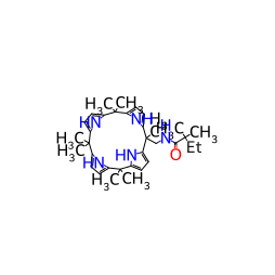 CCC(C)(C)C(=O)NCC1(C)c2ccc([nH]2)C(C)(C)c2ccc([nH]2)C(C)(C)c2ccc([nH]2)C(C)(C)c2ccc1[nH]2